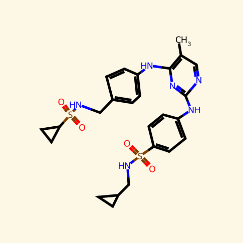 Cc1cnc(Nc2ccc(S(=O)(=O)NCC3CC3)cc2)nc1Nc1ccc(CNS(=O)(=O)C2CC2)cc1